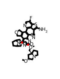 COCCN1CC2CCC(C1)N2c1nc(OC[C@@]23CCCN2C[C@H](OC)C3)nc2c(F)c(-c3ncc(F)c4sc(N)c(C#N)c34)c3c(c12)COC3